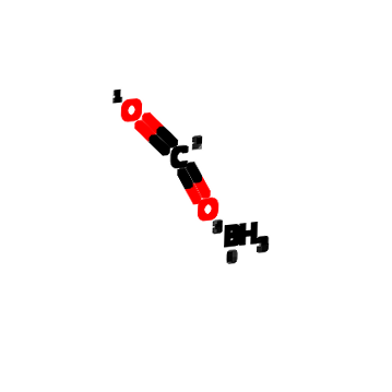 B.O=C=O